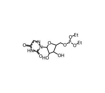 CCOP(OCC)OCC1OC(n2ncc(=O)[nH]c2=O)C(O)C1O